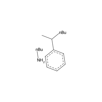 CCCCC(C)c1ccccc1.CCCCN